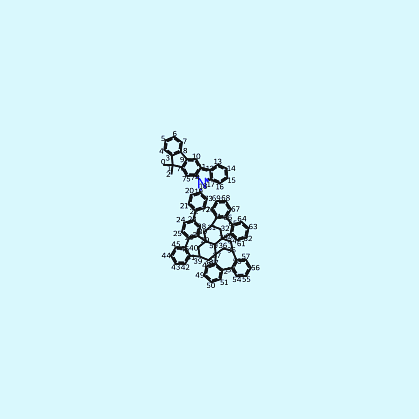 CC1(C)c2ccccc2-c2cc3c4ccccc4n(-c4ccc(-c5ccc6c(c5)C57CC8CC9(CC%10CC(CC(C5)c5ccccc5-6)(c5ccccc5-c5ccccc5%10)C97)c5ccccc5-c5ccccc58)cc4)c3cc21